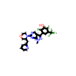 Cn1nc(-c2cc(C(F)(F)F)c(F)c(O)c2F)c2cnc(N3CCOCC3Cc3ccccn3)nc21